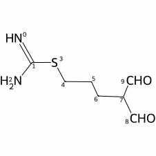 N=C(N)SCCCC(C=O)C=O